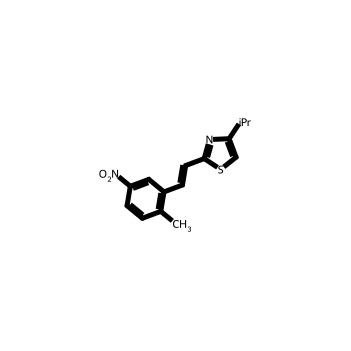 Cc1ccc([N+](=O)[O-])cc1C=Cc1nc(C(C)C)cs1